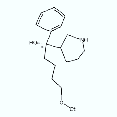 CCOCCCC[C@@](O)(c1ccccc1)C1CCCNC1